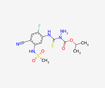 CC(C)OC(=O)N(N)C(=S)Nc1cc(NS(C)(=O)=O)c(C#N)cc1F